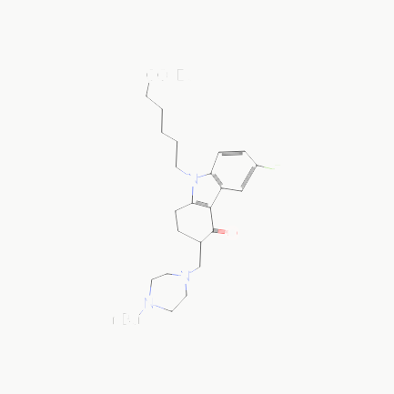 CCCCN1CCN(CC2CCc3c(c4cc(F)ccc4n3CCCCCC(=O)OCC)C2=O)CC1